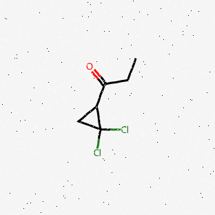 CCC(=O)C1CC1(Cl)Cl